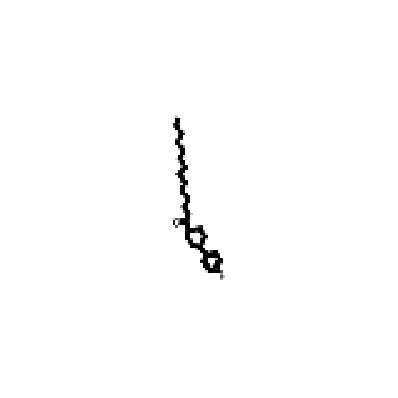 CCCCCCCCCCCCCC(=O)C1CCC(c2ccc(F)cc2)CC1